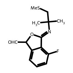 CSCC(C)(C)N=C1OC(C=O)c2cccc(F)c21